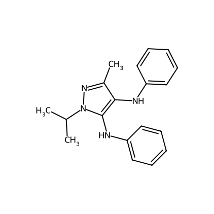 Cc1nn(C(C)C)c(Nc2ccccc2)c1Nc1ccccc1